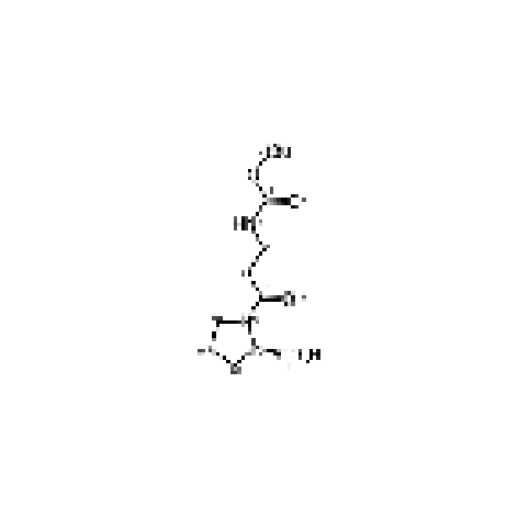 CC(C)(C)OC(=O)NCCC(=O)N1CCC[C@@H]1C(=O)O